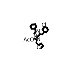 CC(=O)Oc1c(Cc2ccco2)nc2c(Cc3cccc(Cl)c3)nc(-c3ccccc3)cn12